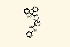 O=C(O[C@H]1C[N+]2(C(=O)Nc3cccnn3)CCC1CC2)C1(O)c2ccccc2-c2ccccc21